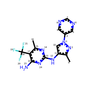 Cc1nn(-c2cncnc2)cc1Nc1nc(C)c(C(F)(F)F)c(N)n1